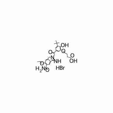 Br.CCOc1cc2c(cc1C(N)=O)C(=N)N(CC(=O)c1cc(OCCCC(=O)O)c(O)c(C(C)(C)C)c1)C2